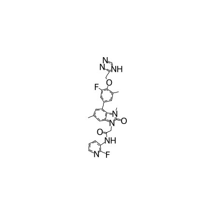 Cc1cc(-c2cc(C)c(OCc3nnc[nH]3)c(F)c2)c2c(c1)n(CC(=O)Nc1cccnc1F)c(=O)n2C